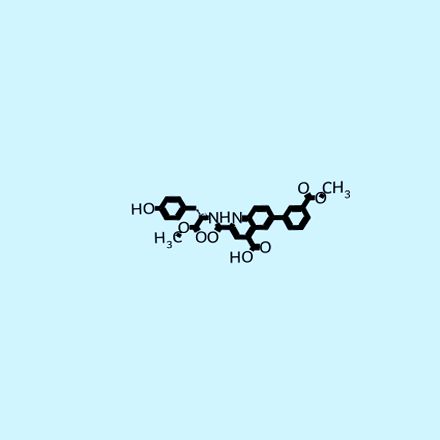 COC(=O)c1cccc(-c2ccc3nc(C(=O)N[C@@H](Cc4ccc(O)cc4)C(=O)OC)cc(C(=O)O)c3c2)c1